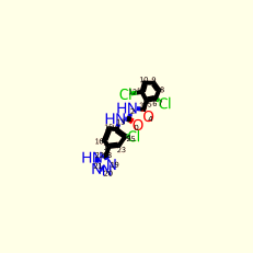 O=C(NC(=O)c1c(Cl)cccc1Cl)Nc1ccc(-c2nnn[nH]2)cc1Cl